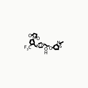 Cc1nc2cc(OC[C@H](O)CN3CCN(Cc4cc(N5C(=O)CCC5=O)ccc4C(F)(F)F)CC3)ccc2s1